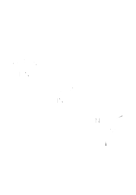 CC(C)S(=O)(=O)NC1CCC(C(=O)Nc2ccc(N3C[C@H](C)O[C@H](C)C3F)cc2)CC1